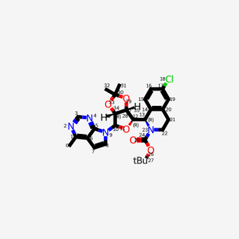 Cc1ncnc2c1ccn2C1O[C@H]([C@H]2c3ccc(Cl)cc3CCN2C(=O)OC(C)(C)C)[C@H]2OC(C)(C)O[C@@H]12